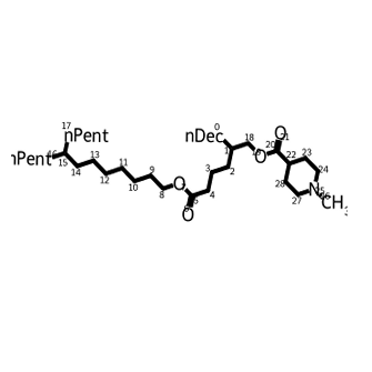 CCCCCCCCCCC(CCCC(=O)OCCCCCCCC(CCCCC)CCCCC)COC(=O)C1CCN(C)CC1